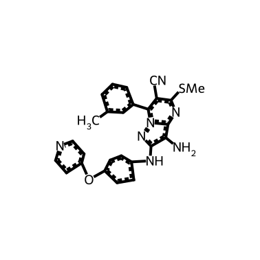 CSc1nc2c(N)c(Nc3ccc(Oc4ccncc4)cc3)nn2c(-c2cccc(C)c2)c1C#N